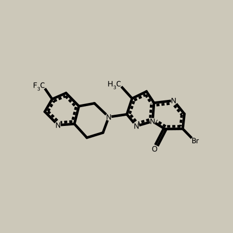 Cc1cc2ncc(Br)c(=O)n2nc1N1CCc2ncc(C(F)(F)F)cc2C1